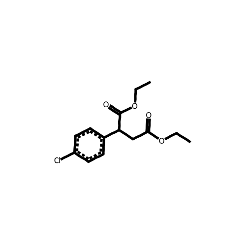 CCOC(=O)CC(C(=O)OCC)c1ccc(Cl)cc1